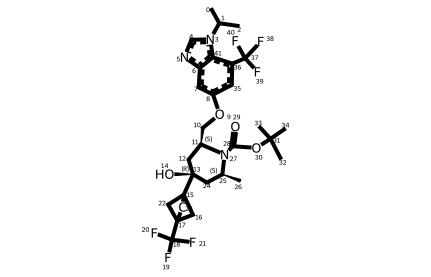 CC(C)n1cnc2cc(OC[C@@H]3C[C@@](O)(C45CC(C(F)(F)F)(C4)C5)C[C@H](C)N3C(=O)OC(C)(C)C)cc(C(F)(F)F)c21